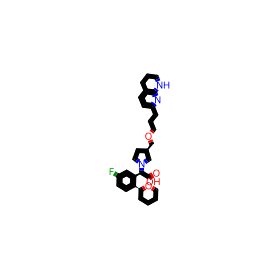 O=C(O)[C@@H](c1cc(F)ccc1[C@H]1CCCCO1)N1CC[C@@H](COCCCc2ccc3c(n2)NCCC3)C1